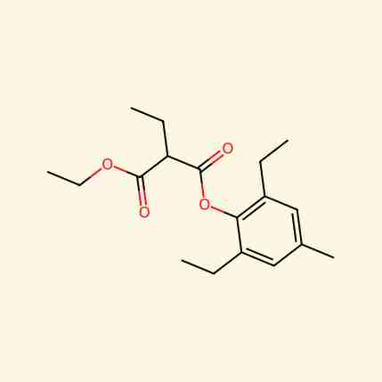 CCOC(=O)C(CC)C(=O)Oc1c(CC)cc(C)cc1CC